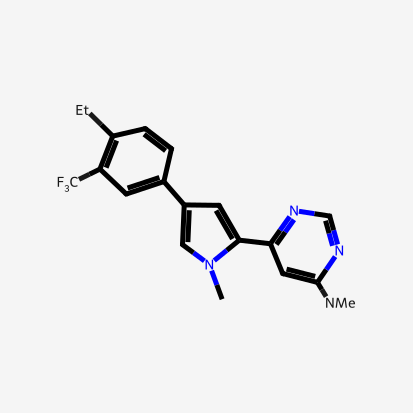 CCc1ccc(-c2cc(-c3cc(NC)ncn3)n(C)c2)cc1C(F)(F)F